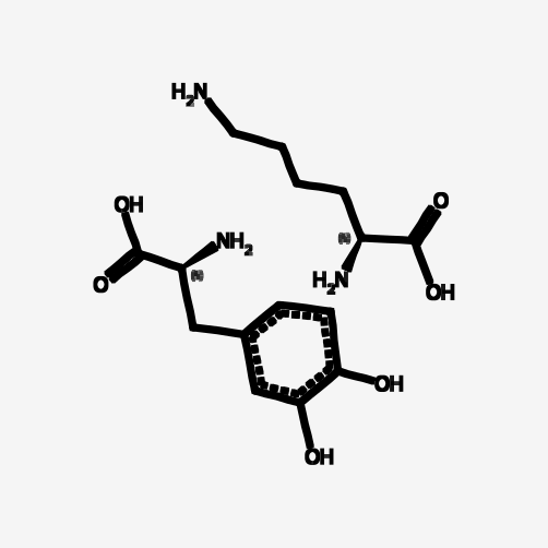 NCCCC[C@H](N)C(=O)O.N[C@@H](Cc1ccc(O)c(O)c1)C(=O)O